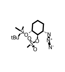 CC(C)(C)[Si](C)(C)O[C@@H]1CCC[C@H](N=[N+]=[N-])[C@H]1OS(C)(=O)=O